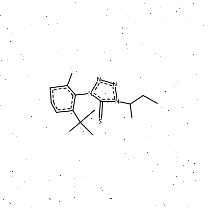 CCC(C)n1nnn(-c2c(C)cccc2C(C)(C)C)c1=S